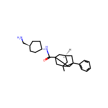 CC12C[C@H]3CC(C(=O)N[C@H]4CC[C@H](CN)CC4)(C1)CC(c1ccccc1)(C3)C2